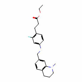 CCOC(=O)CCc1ccc(NCc2ccc3c(c2)N(C)CCC3)cc1F